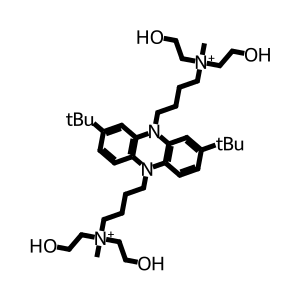 CC(C)(C)c1ccc2c(c1)N(CCCC[N+](C)(CCO)CCO)c1cc(C(C)(C)C)ccc1N2CCCC[N+](C)(CCO)CCO